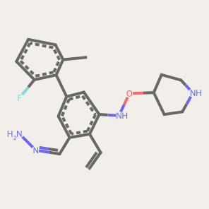 C=Cc1c(/C=N\N)cc(-c2c(C)cccc2F)cc1NOC1CCNCC1